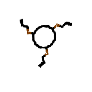 C=CCSC1CCCC(SCC=C)CCCC(SCC=C)CCC1